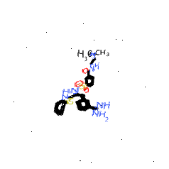 CN(C)CCNC(=O)c1cccc(S(=O)(=O)NC(Cc2cccc(C(=N)N)c2)c2nc3ccccc3s2)c1